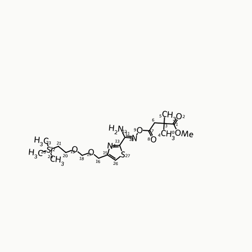 COC(=O)C(C)(C)CC(=O)O/N=C(\N)c1nc(COCOCC[Si](C)(C)C)cs1